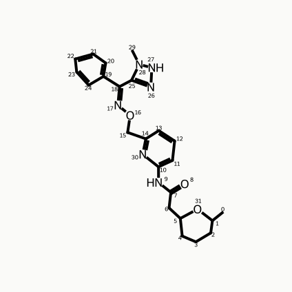 CC1CCCC(CC(=O)Nc2cccc(CO/N=C(/c3ccccc3)c3n[nH]n3C)n2)O1